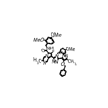 CCn1nc(C)c(OCc2ccccc2)c1-c1nnc(-c2c(F)c(C(=O)NCc3ccc(OC)cc3OC)n3cc(C)ncc23)n1Cc1ccc(OC)cc1